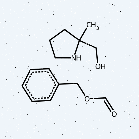 CC1(CO)CCCN1.O=COCc1ccccc1